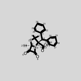 CC1(C)S[C@@H]2C(=O)C(=O)N2[C@]1(C(=O)O)C(c1ccccc1)c1ccccc1